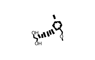 C=C.C=C.C=C.C=C.C=C.C=C.C=C.COCc1ccccc1.OCCO